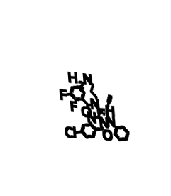 C#CC[C@H](c1nc2cc(Cl)ccc2c(=O)n1Nc1ccccc1)N(CCCN)C(=O)c1cccc(F)c1F